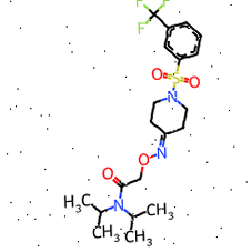 CC(C)N(C(=O)CON=C1CCN(S(=O)(=O)c2cccc(C(F)(F)F)c2)CC1)C(C)C